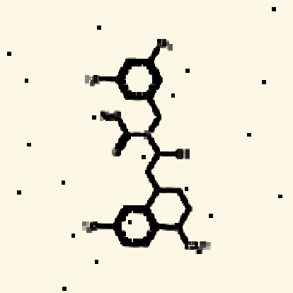 CCOC(=O)N1CCC(CC(O)N(Cc2cc(C(F)(F)F)cc(C(F)(F)F)c2)C(=O)OC)c2cc(C(F)(F)F)ccc21